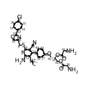 [C-]#[N+]c1c(N)nc(SCc2coc(-c3ccc(Cl)cc3)n2)c(C#N)c1-c1ccc(OC[C@@H](COC(=O)CN)OC(=O)CN)cc1